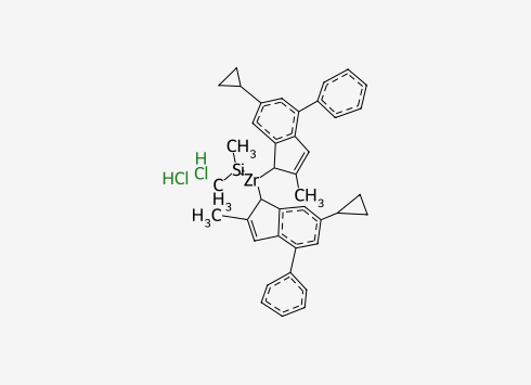 CC1=Cc2c(-c3ccccc3)cc(C3CC3)cc2[CH]1[Zr]([CH]1C(C)=Cc2c(-c3ccccc3)cc(C3CC3)cc21)=[Si](C)C.Cl.Cl